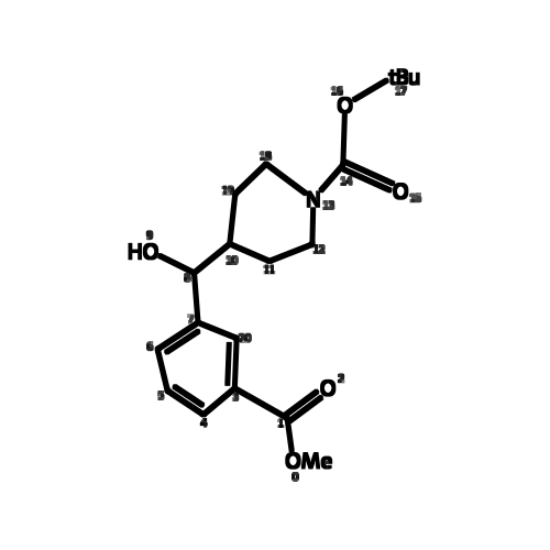 COC(=O)c1cccc(C(O)C2CCN(C(=O)OC(C)(C)C)CC2)c1